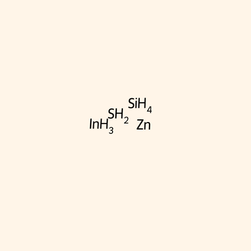 S.[InH3].[SiH4].[Zn]